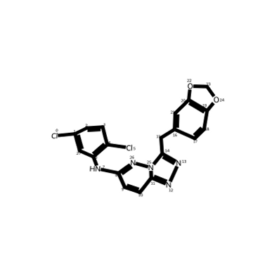 Clc1ccc(Cl)c(Nc2ccc3nnc(Cc4ccc5c(c4)OCO5)n3n2)c1